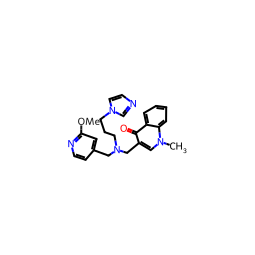 COc1cc(CN(CCCn2ccnc2)Cc2cn(C)c3ccccc3c2=O)ccn1